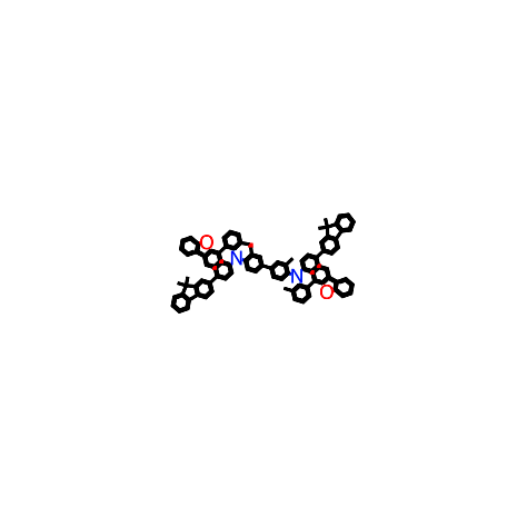 Cc1cc(-c2ccc(N(c3ccc(-c4ccc5c(c4)C(C)(C)c4ccccc4-5)cc3)c3c(C)cccc3-c3cccc4c3oc3ccccc34)c(C)c2)ccc1N(c1ccc(-c2ccc3c(c2)C(C)(C)c2ccccc2-3)cc1)c1c(C)cccc1-c1cccc2c1oc1ccccc12